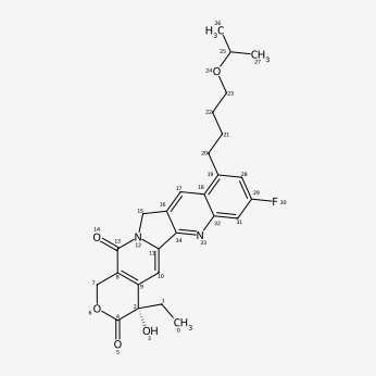 CC[C@@]1(O)C(=O)OCc2c1cc1n(c2=O)Cc2cc3c(CCCCOC(C)C)cc(F)cc3nc2-1